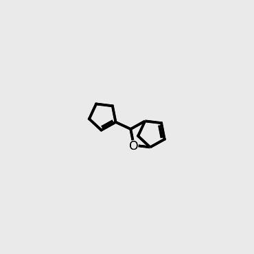 C1=CC2CC1OC2C1=CCCC1